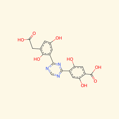 O=C(O)Cc1cc(O)cc(-c2ncnc(-c3cc(O)c(C(=O)O)cc3O)n2)c1O